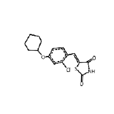 O=C1NC(=O)C(=Cc2ccc(OC3CCCCC3)cc2Cl)S1